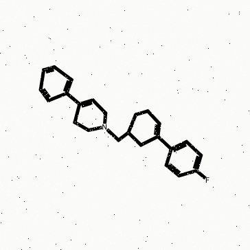 Fc1ccc(C2=CCCC(CN3CC=C(c4ccccc4)CC3)C2)cc1